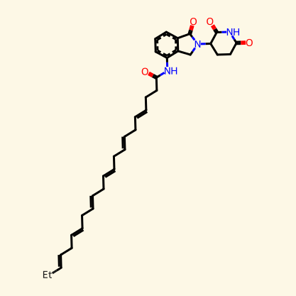 CCC=CCC=CCC=CCC=CCC=CCC=CCCC(=O)Nc1cccc2c1CN(C1CCC(=O)NC1=O)C2=O